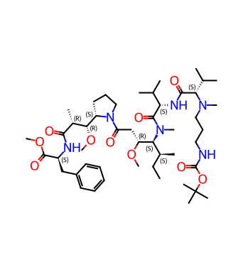 CC[C@H](C)[C@@H]([C@@H](CC(=O)N1CCC[C@H]1[C@H](OC)[C@@H](C)C(=O)N[C@@H](Cc1ccccc1)C(=O)OC)OC)N(C)C(=O)[C@@H](NC(=O)[C@H](C(C)C)N(C)CCCNC(=O)OC(C)(C)C)C(C)C